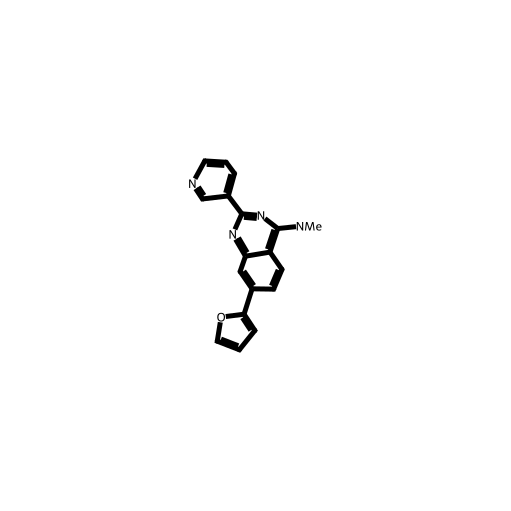 CNc1nc(-c2cccnc2)nc2cc(-c3ccco3)ccc12